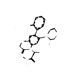 CC1C(=O)NN=C2COc3cc(-c4ccccc4F)c(N4C[C@H](C)NC[C@H]4C)cc3N21.Cl